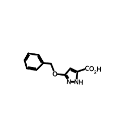 O=C(O)c1cc(OCc2ccccc2)n[nH]1